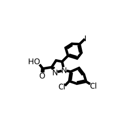 O=C(O)C1=NN(c2ccc(Cl)cc2Cl)C(c2ccc(I)cc2)C1